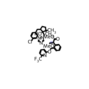 CC1(C)CCC(Cc2ccc(Cl)cc2)C1(O)Cn1cncn1.CO/C=C(/C(=O)OC)c1ccccc1COc1cccc(C(F)(F)F)n1